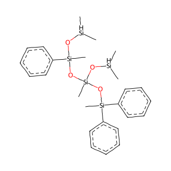 C[SiH](C)O[Si](C)(O[Si](C)(O[SiH](C)C)c1ccccc1)O[Si](C)(c1ccccc1)c1ccccc1